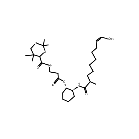 CCCCCCCC/C=C\CCCCCCC(C)C(=O)N[C@H]1CCCC[C@@H]1OC(=O)CCNC(=O)C1OC(C)(C)OCC1(C)C